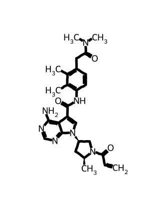 C=CC(=O)N1C[C@H](n2cc(C(=O)Nc3ccc(CC(=O)N(C)C)c(C)c3C)c3c(N)ncnc32)C[C@@H]1C